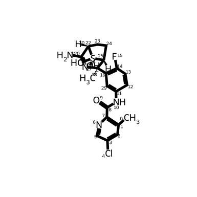 Cc1cc(Cl)cnc1C(=O)Nc1ccc(F)c([C@@]2(C)N=C(N)[C@@H]3CC[C@H]2S3(O)O)c1